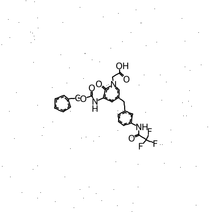 O=C(O)Cn1cc(Cc2cccc(NC(=O)C(F)(F)F)c2)cc(NC(=O)OCc2ccccc2)c1=O